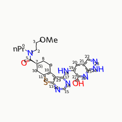 CCCN(CCOC)C(=O)[C@H]1CCc2c(sc3ncnc(Nc4cc5cn[nH]c5nc4O)c23)C1